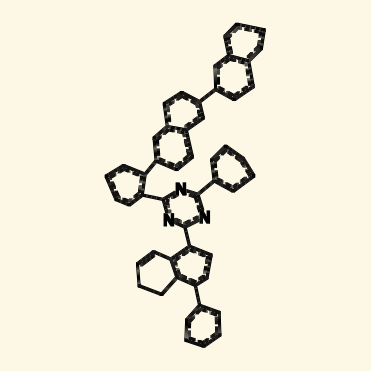 C1=Cc2c(-c3nc(-c4ccccc4)nc(-c4ccccc4-c4ccc5cc(-c6ccc7ccccc7c6)ccc5c4)n3)ccc(-c3ccccc3)c2CC1